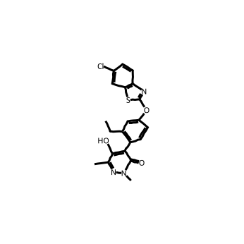 CCc1cc(Oc2nc3ccc(Cl)cc3s2)ccc1-c1c(O)c(C)nn(C)c1=O